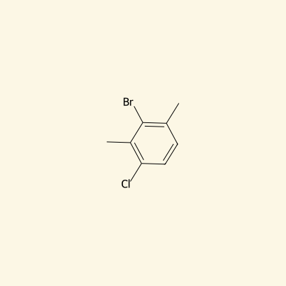 Cc1ccc(Cl)c(C)c1Br